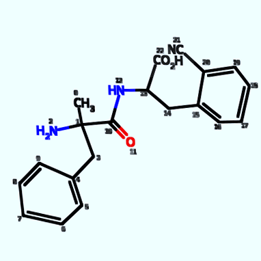 CC(N)(Cc1ccccc1)C(=O)NC(Cc1ccccc1C#N)C(=O)O